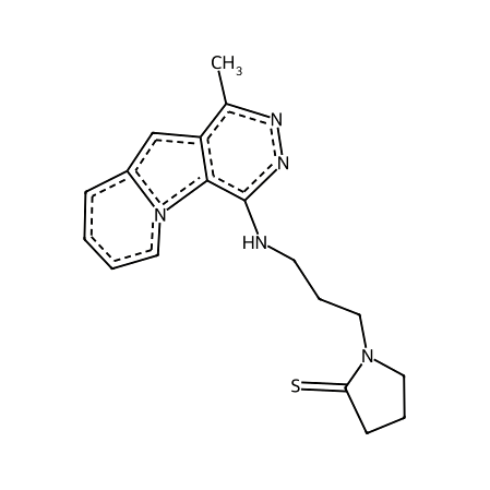 Cc1nnc(NCCCN2CCCC2=S)c2c1cc1ccccn12